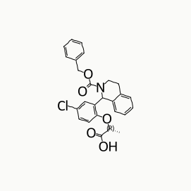 C[C@@H](Oc1ccc(Cl)cc1C1c2ccccc2CCN1C(=O)OCc1ccccc1)C(=O)O